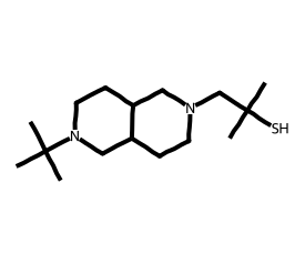 CC(C)(S)CN1CCC2CN(C(C)(C)C)CCC2C1